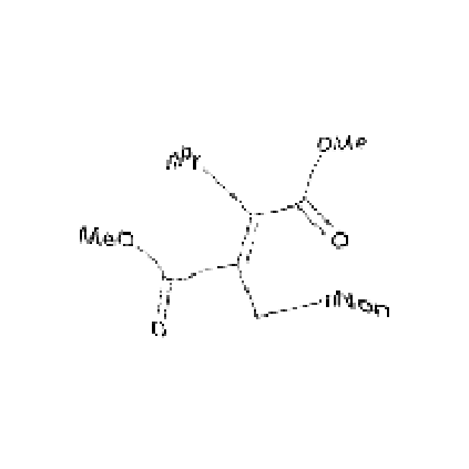 CCCCCCCCCCC(C(=O)OC)=C(CCC)C(=O)OC